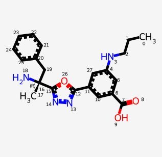 CCCNc1cc(C(=O)O)cc(-c2nnc([C@](C)(N)Cc3ccccc3)o2)c1